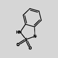 O=S1(=O)[N]c2ccccc2N1